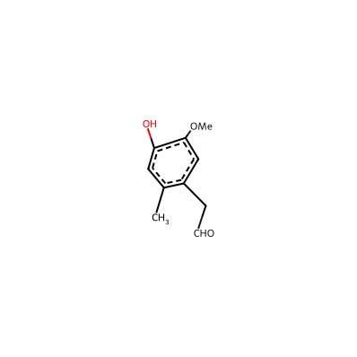 COc1cc(CC=O)c(C)cc1O